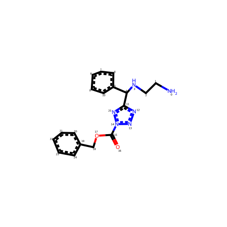 NCCNC(c1ccccc1)c1nnn(C(=O)OCc2ccccc2)n1